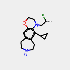 C[C@@H](F)CN1CCOc2cc3c(c(C4CC4)c21)CCNCC3